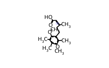 COc1c(C)c(C)c(OC)c(CC/C(C)=C\C(=O)O)c1C